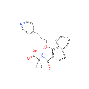 O=C(NC1(C(=O)O)CC1)c1ccc2ccccc2c1OCCCc1ccncc1